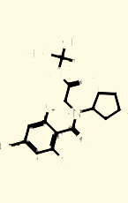 CC(C)(C)OC(=O)CN(C(=O)c1c(Cl)cc(Cl)cc1Cl)C1CCCC1